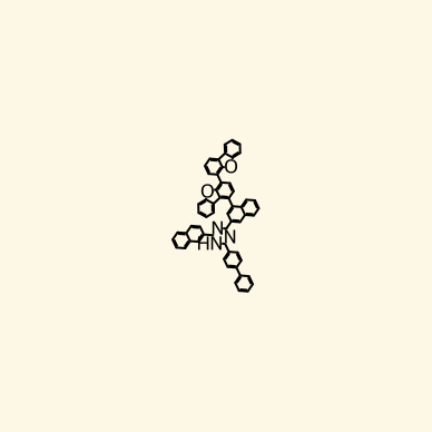 c1ccc(-c2ccc(C3N=C(c4cc(-c5ccc(-c6cccc7c6oc6ccccc67)c6oc7ccccc7c56)c5ccccc5c4)N=C(c4ccc5ccccc5c4)N3)cc2)cc1